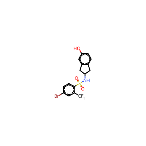 O=S(=O)(NC1Cc2ccc(O)cc2C1)c1ccc(Br)cc1C(F)(F)F